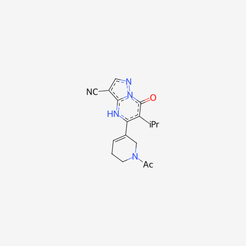 CC(=O)N1CCC=C(c2[nH]c3c(C#N)cnn3c(=O)c2C(C)C)C1